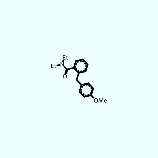 CCN(CC)C(=O)c1ccccc1Cc1ccc(OC)cc1